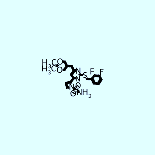 CC1(C)OCC(Cc2cc(C3CCN3S(N)(=O)=O)nc(SCc3cccc(F)c3F)n2)CO1